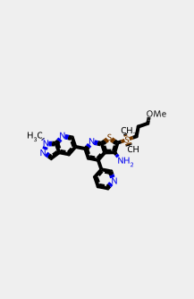 C#S(C)(CCCOC)c1sc2nc(-c3cnc4c(cnn4C)c3)cc(-c3cccnc3)c2c1N